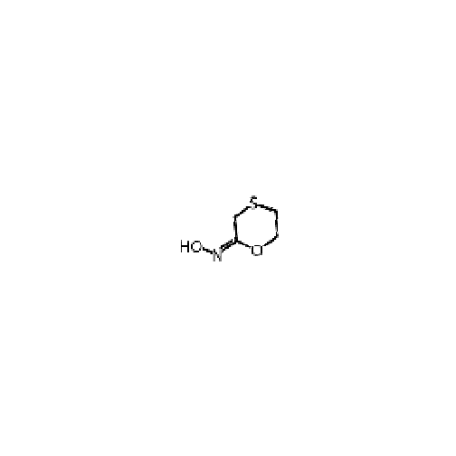 ON=C1CSCCO1